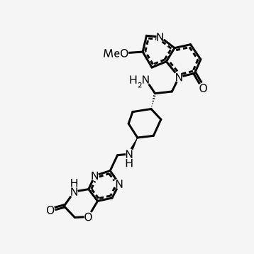 COc1cnc2ccc(=O)n(CC(N)[C@H]3CC[C@H](NCc4ncc5c(n4)NC(=O)CO5)CC3)c2c1